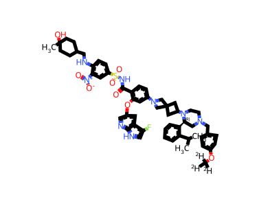 [2H]C([2H])([2H])Oc1ccc(CN2CCN(C3CC4(C3)CN(c3ccc(C(=O)NS(=O)(=O)c5ccc(NCC6CCC(C)(O)CC6)c([N+](=O)[O-])c5)c(Oc5cnc6[nH]cc(F)c6c5)c3)C4)[C@H](c3ccccc3C(C)C)C2)cc1